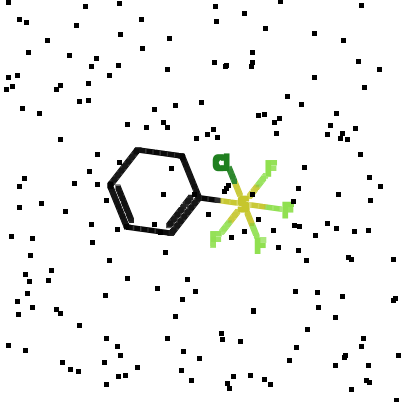 FS(F)(F)(F)(Cl)C1=CC=CCC1